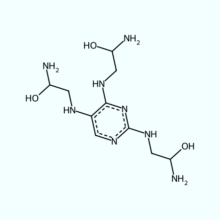 NC(O)CNc1ncc(NCC(N)O)c(NCC(N)O)n1